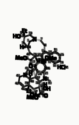 CC[C@]1(O)C[C@@H]2C[N@@](CCc3c([nH]c4ccccc34)[C@@](C(=O)OC)(c3cc4c(cc3OC)N(C)[C@H]3[C@@](O)(C(=O)OC)[C@H](OC(C)=O)[C@]5(CC)C=CCN6CC[C@]43[C@@H]65)C2)C1.Cl